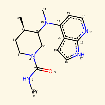 CC(C)NC(=O)N1CC[C@@H](C)C(N(C)c2ccnc3[nH]ccc23)C1